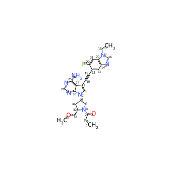 C=CC(=O)N1C[C@@H](n2cc(C#Cc3cc4ncn(CC)c4cc3F)c3c(N)ncnc32)C[C@@H]1COC